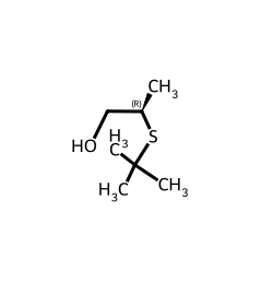 C[C@H](CO)SC(C)(C)C